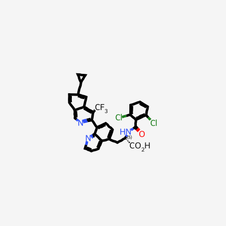 O=C(N[C@@H](Cc1ccc(-c2ncc3ccc(C4CC4)cc3c2C(F)(F)F)c2ncccc12)C(=O)O)c1c(Cl)cccc1Cl